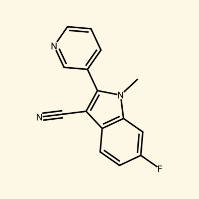 Cn1c(-c2cccnc2)c(C#N)c2ccc(F)cc21